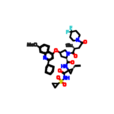 C=C[C@@H]1C[C@]1(NC(=O)[C@@H]1C[C@@H](Oc2cc(-c3ccccc3)nc3cc(OC)ccc23)CN1C(=O)[C@@H](CC(=O)N1CCC(F)(F)CC1)C(C)(C)C)C(=O)NS(=O)(=O)C1CC1